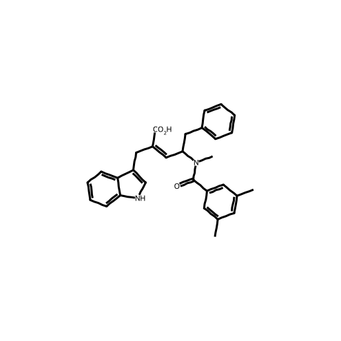 Cc1cc(C)cc(C(=O)N(C)C(C=C(Cc2c[nH]c3ccccc23)C(=O)O)Cc2ccccc2)c1